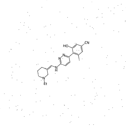 CCN1CCC/C(=C/Nc2ccc(-c3c(C)cc(C#N)cc3O)nn2)C1